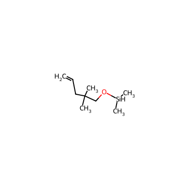 C=CCC(C)(C)CO[SiH](C)C